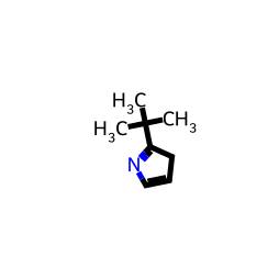 CC(C)(C)C1=NC=CC1